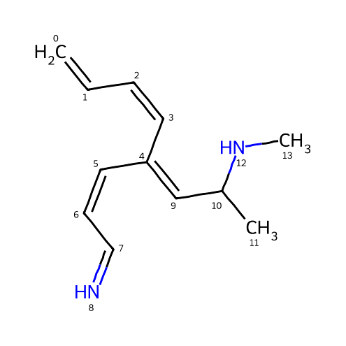 C=C\C=C/C(/C=C\C=N)=C\C(C)NC